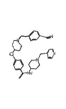 C=C(NC1CCN(Cc2ccncc2)CC1)c1ccc(OC2CCN(Cc3ccc(C#N)cc3)CC2)cc1